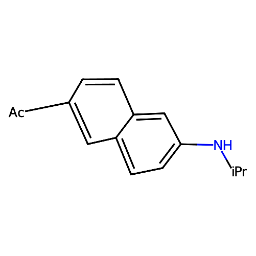 CC(=O)c1ccc2cc(NC(C)C)ccc2c1